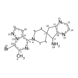 Cc1nc(N2CCC3(CC2)Cc2nccnc2C3N)c2ccnn2c1Br